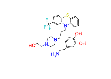 NCCc1ccc(O)c(O)c1.OCCN1CCN(CCCN2c3ccccc3Sc3ccc(C(F)(F)F)cc32)CC1